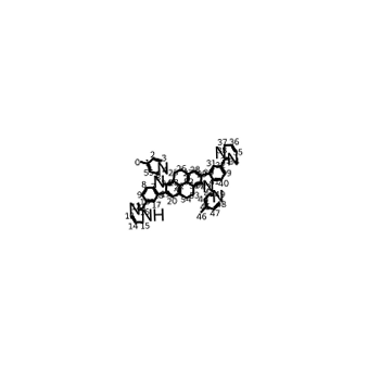 Cc1ccnc(-n2c3ccc(C4=NC=CCN4)cc3c3cc4c5c(c32)CCc2cc3c6cc(-c7ncccn7)ccc6n(-c6cc(C)ccn6)c3c(c2-5)CC4)c1